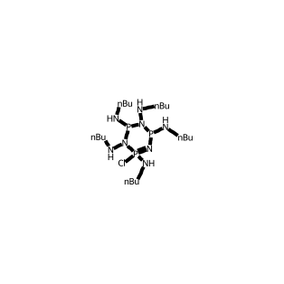 CCCCNN1P(NCCCC)N=P(Cl)(NCCCC)N(NCCCC)P1NCCCC